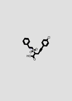 O=C(O)C(CC#Cc1ccc(Cl)cc1)S(=O)(=O)/C=C/c1ccccc1